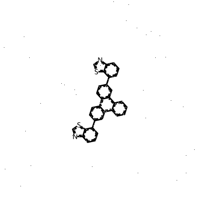 c1cc(-c2ccc3c4ccc(-c5cccc6ncsc56)cc4c4ccccc4c3c2)c2scnc2c1